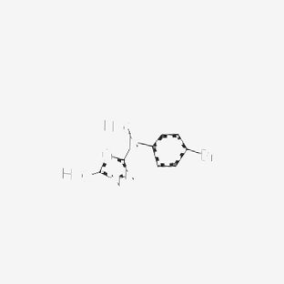 Cc1nnc(N(C)c2ccc(Br)cc2)o1